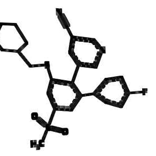 CS(=O)(=O)c1cc(SCC2CCCCC2)c(-c2cncc(C#N)c2)c(-c2ccc(F)cc2)c1